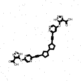 O=C(O)c1nn[nH]c1Oc1cnnc(C#CC2CCC(C3CCC(C#Cc4cnc(Oc5[nH]nnc5C(=O)O)cn4)C3)C2)c1